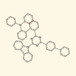 c1ccc(-c2ccc(-c3nc(-c4ccccc4-c4ccccc4N(c4ccccc4)c4ccccc4)nc(-n4c5ccccc5c5ccccc54)n3)cc2)cc1